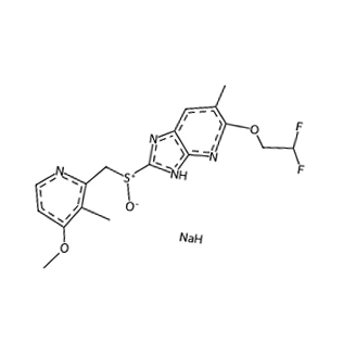 COc1ccnc(C[S+]([O-])c2nc3cc(C)c(OCC(F)F)nc3[nH]2)c1C.[NaH]